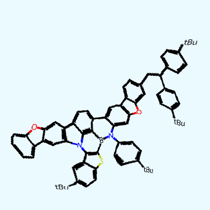 CC(C)(C)c1ccc(C(Cc2ccc3c(c2)oc2cc4c(cc23)-c2ccc3c5cc6oc7ccccc7c6cc5n5c3c2B(c2sc3ccc(C(C)(C)C)cc3c2-5)N4c2ccc(C(C)(C)C)cc2)c2ccc(C(C)(C)C)cc2)cc1